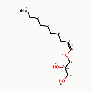 CCCCCCCCCCCCCCCC/C=C\OC[C@H](O)CO